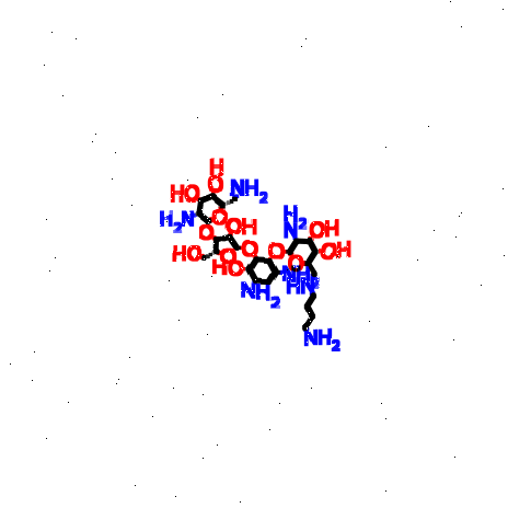 NCCCCNC[C@H]1O[C@H](O[C@H]2[C@H](O[C@@H]3O[C@H](CO)[C@@H](O[C@H]4O[C@@H](CN)[C@@H](O)[C@H](O)[C@H]4N)[C@H]3O)[C@@H](O)[C@H](N)C[C@@H]2N)[C@H](N)[C@@H](O)[C@@H]1O